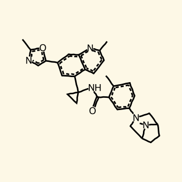 Cc1ccc2c(C3(NC(=O)c4cc(N5CC6CCC(C5)N6C)ccc4C)CC3)cc(-c3cnc(C)o3)cc2n1